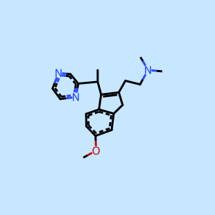 COc1ccc2c(c1)CC(CCN(C)C)=C2C(C)c1cnccn1